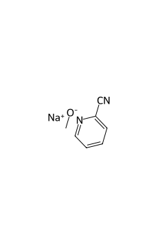 C[O-].N#Cc1ccccn1.[Na+]